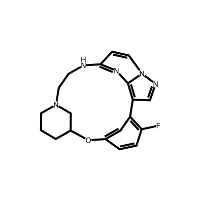 Fc1ccc2cc1-c1cnn3ccc(nc13)NCCN1CCCC(C1)O2